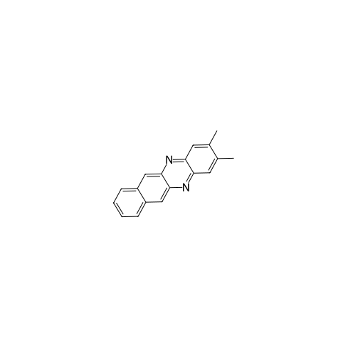 Cc1cc2nc3cc4ccccc4cc3nc2cc1C